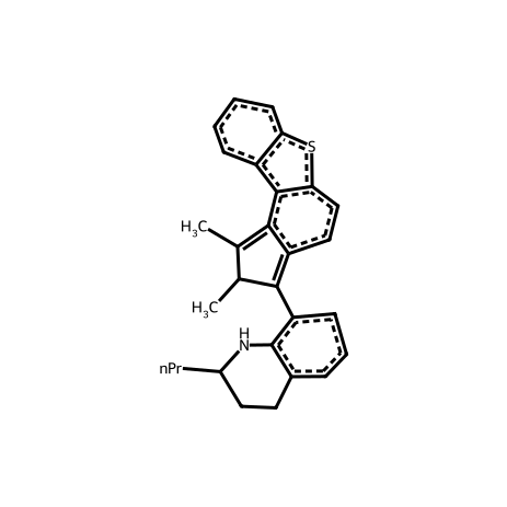 CCCC1CCc2cccc(C3=c4ccc5sc6ccccc6c5c4=C(C)C3C)c2N1